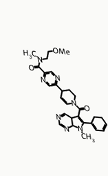 COCCN(C)C(=O)c1cnc(C2C=CN(C(=O)C3=C(C4=CC=CCC4)N(C)C4N=CN=CC34)CC2)cn1